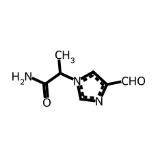 CC(C(N)=O)n1cnc(C=O)c1